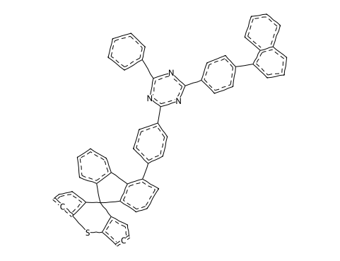 c1ccc(-c2nc(-c3ccc(-c4cccc5c4-c4ccccc4C54c5ccccc5Sc5ccccc54)cc3)nc(-c3ccc(-c4cccc5ccccc45)cc3)n2)cc1